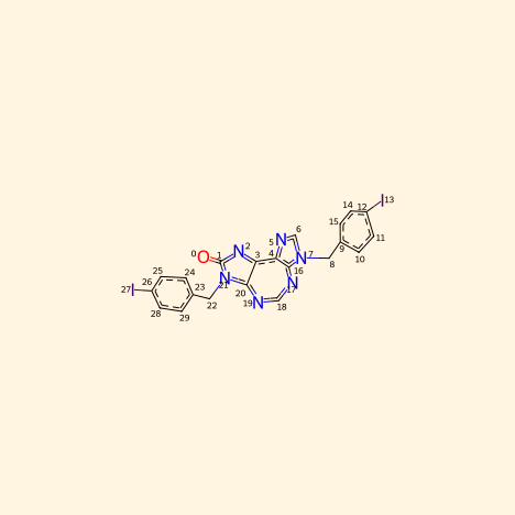 O=c1nc2c3ncn(Cc4ccc(I)cc4)c3ncnc-2n1Cc1ccc(I)cc1